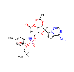 COC(C)(C)COC(=O)[C@H](C)NP(=O)(OC[C@H]1O[C@@](C)(c2ccc3c(N)ncnn23)[C@H](OC(=O)C(C)C)[C@@H]1OC(=O)C(C)C)Oc1ccc(C(C)(C)C)cc1